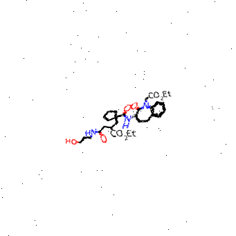 CCOC(=O)CN1C(=O)[C@@H](NC(=O)C2(CC(CC(=O)NCCCO)C(=O)OCC)CCCC2)CCc2ccccc21